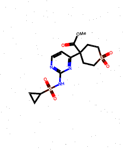 COC(=O)C1(c2ccnc(NS(=O)(=O)C3CC3)n2)CCS(=O)(=O)CC1